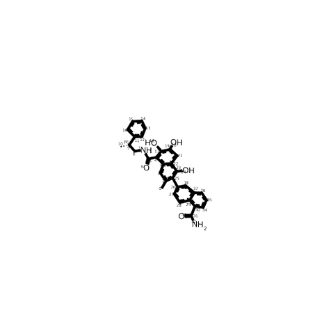 Cc1cc2c(C(=O)NC[C@H](C)c3ccccc3)c(O)c(O)cc2c(O)c1-c1ccc2c(C(N)=O)cccc2c1